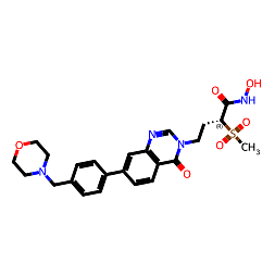 CS(=O)(=O)[C@H](CCn1cnc2cc(-c3ccc(CN4CCOCC4)cc3)ccc2c1=O)C(=O)NO